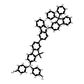 CC1(C)c2cc(-c3ccc4c(c3)c3ccccc3n4-c3ccc4c(c3)C(c3ccccc3)(c3ccccc3)c3ccccc3-4)ccc2-c2ccc(N(c3ccc(F)cc3)c3ccc(F)cc3)cc21